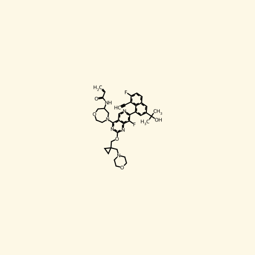 C#Cc1c(F)ccc2cc(C(C)(C)O)cc(-c3ncc4c(N5CCOCC(NC(=O)C=C)C5)nc(OCC5(CN6CCOCC6)CC5)nc4c3F)c12